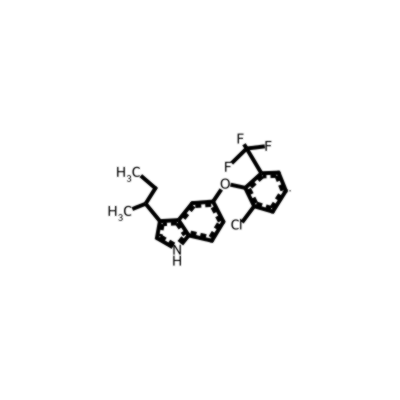 CCC(C)c1c[nH]c2ccc(Oc3c(Cl)c[c]cc3C(F)(F)F)cc12